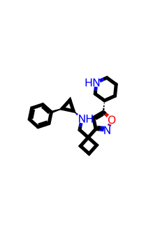 c1ccc([C@H]2C[C@@H]2NCC2(c3cc([C@H]4CCCNC4)on3)CCC2)cc1